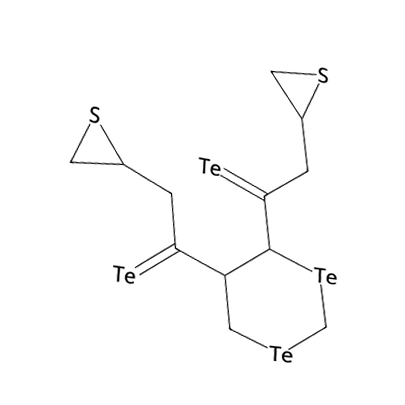 [Te]=C(CC1CS1)C1C[Te]C[Te]C1C(=[Te])CC1CS1